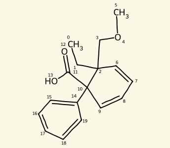 CCC1(COC)C=CC=CC1(C(=O)O)c1ccccc1